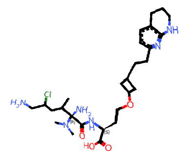 CC(CC(Cl)CN)[C@](N)(C(=O)N[C@@H](CCOC1CC(CCc2ccc3c(n2)NCCC3)C1)C(=O)O)N(C)C